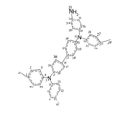 Cc1ccc(N(c2ccc(C)cc2)c2ccc(-c3ccc(N(c4ccc(C)cc4)c4ccc(N)cc4)cc3)cc2)cc1